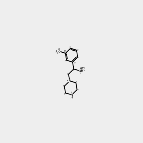 Cl.OC(CN1CCNCC1)c1cccc(C(F)(F)F)c1